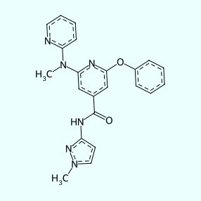 CN(c1ccccn1)c1cc(C(=O)Nc2ccn(C)n2)cc(Oc2ccccc2)n1